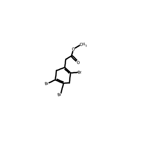 COC(=O)CC1=C(Br)CC(Br)=C(Br)C1